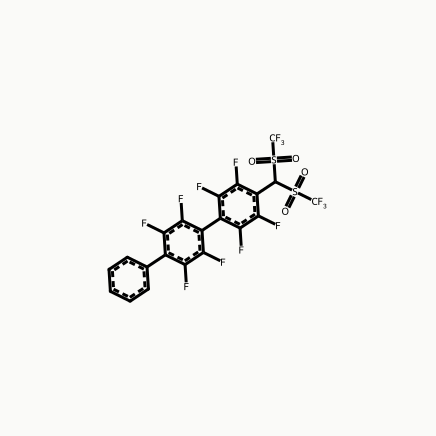 O=S(=O)(C(c1c(F)c(F)c(-c2c(F)c(F)c(-c3ccccc3)c(F)c2F)c(F)c1F)S(=O)(=O)C(F)(F)F)C(F)(F)F